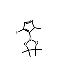 CC1N=CC(F)=C1B1OC(C)(C)C(C)(C)O1